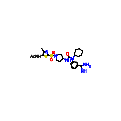 CC(=O)Nc1sc(S(=O)(=O)N2CCC(NC(=O)N(c3cccc(C(=N)N)c3)C3CCCCCC3)CC2)nc1C